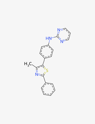 Cc1nc(-c2ccccc2)sc1-c1ccc(Nc2ncccn2)cc1